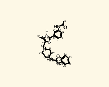 CC(=O)Nc1cccc(-c2nc(CN3CCC(Nc4nc5ccccc5o4)CC3)c(C)[nH]2)c1